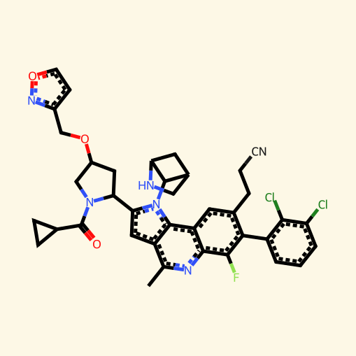 Cc1nc2c(F)c(-c3cccc(Cl)c3Cl)c(CCC#N)cc2c2c1cc(C1CC(OCc3ccon3)CN1C(=O)C1CC1)n2C1C2CNC1C2